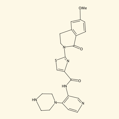 COc1ccc2c(c1)CCN(c1nc(C(=O)Nc3cnccc3N3CCNCC3)cs1)C2=O